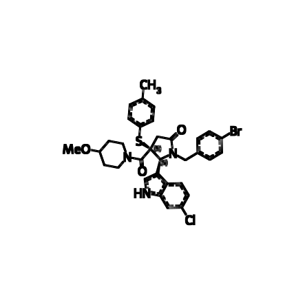 COC1CCN(C(=O)[C@]2(Sc3ccc(C)cc3)CC(=O)N(Cc3ccc(Br)cc3)[C@H]2c2c[nH]c3cc(Cl)ccc23)CC1